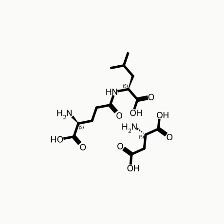 CC(C)C[C@H](NC(=O)CC[C@H](N)C(=O)O)C(=O)O.N[C@@H](CC(=O)O)C(=O)O